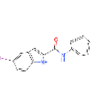 O=C(Nc1ccccc1)c1cc2cc(I)ccc2[nH]1